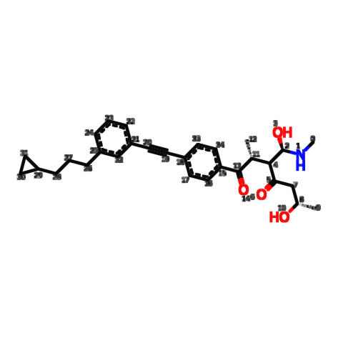 CN[C@H](O)C(C(=O)C[C@H](C)O)[C@@H](C)C(=O)c1ccc(C#Cc2cccc(CCCC3CC3)c2)cc1